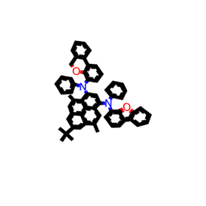 Cc1cc2c(N(c3ccccc3)c3cccc4c3oc3ccccc34)cc(N(c3ccccc3)c3cccc4c3OCc3ccccc3-4)c3c(C)cc4cc(C(C)(C)C)cc1c4c23